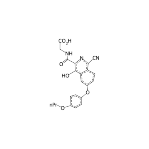 CCCOc1ccc(Oc2ccc3c(C#N)nc(C(=O)NCC(=O)O)c(O)c3c2)cc1